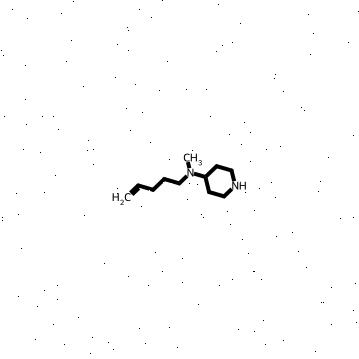 C=CCCCN(C)C1CCNCC1